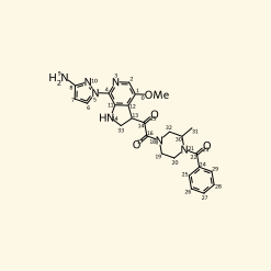 COc1cnc(-n2ccc(N)n2)c2c1C(C(=O)C(=O)N1CCN(C(=O)c3ccccc3)C(C)C1)CN2